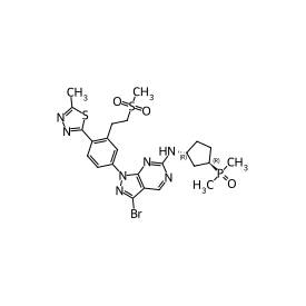 Cc1nnc(-c2ccc(-n3nc(Br)c4cnc(N[C@@H]5CC[C@@H](P(C)(C)=O)C5)nc43)cc2CCS(C)(=O)=O)s1